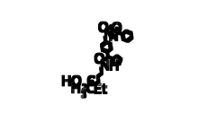 CCC(C)(CCCCNC(=O)C(c1ccc(CN2N=C(c3ccccc3)OCC2=O)cc1)C1CCCC1)C(=O)O